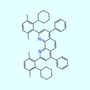 Cc1ccc(C)c(C2CCCCC2)c1-c1cc(-c2ccccc2)c2ccc3c(-c4ccccc4)cc(-c4c(C)ccc(C)c4C4CCCCC4)nc3c2n1